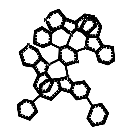 Cc1ccccc1-c1c(-n2c3ccccc3c3ccncc32)c(-n2c3ccc(-c4ccccc4)cc3c3cc(-c4ccccc4)ccc32)nc(-n2c3ccccc3c3ccncc32)c1-n1c2ccccc2c2ccncc21